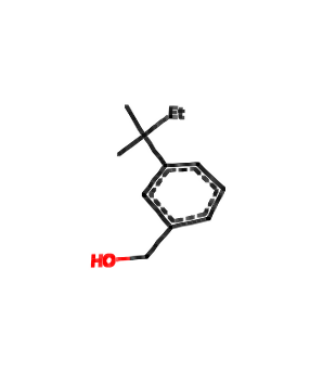 CCC(C)(C)c1cccc(CO)c1